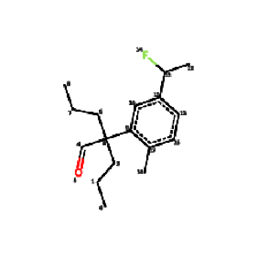 CCCC(C=O)(CCC)c1cc(C(C)F)ccc1C